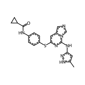 Cc1cc(Nc2nc(Sc3ccc(NC(=O)C4CC4)cc3)cc3cncn23)n[nH]1